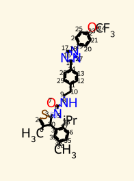 CC1=CS/C(=N\C(=O)NCCc2ccc(-c3ncn(-c4ccc(OC(F)(F)F)cc4)n3)cc2)C1c1cc(C)ccc1C(C)C